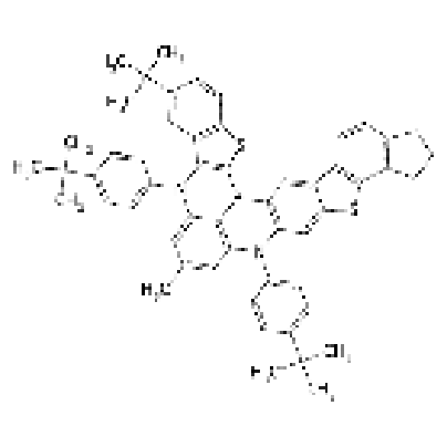 Cc1cc2c3c(c1)N(c1ccc(C(C)(C)C)cc1)c1c(sc4ccc(C(C)(C)C)cc14)B3c1cc3c(cc1N2c1ccc(C(C)(C)C)cc1)sc1c2c(ccc13)CCC2